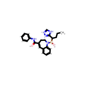 CCCC(c1nnc[nH]1)[S+]([O-])N1CCC(C(=O)Nc2ccccc2)=Cc2ccccc21